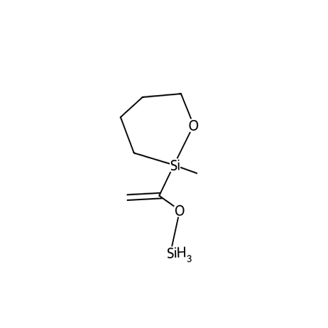 C=C(O[SiH3])[Si]1(C)CCCCO1